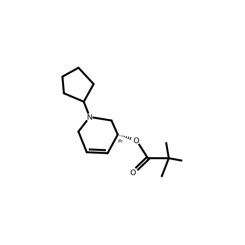 CC(C)(C)C(=O)O[C@@H]1C=CCN(C2CCCC2)C1